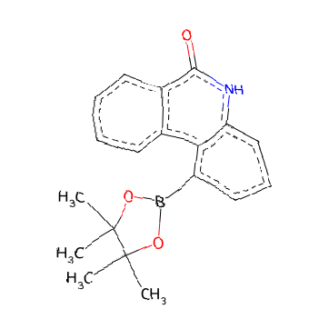 CC1(C)OB(c2cccc3[nH]c(=O)c4ccccc4c23)OC1(C)C